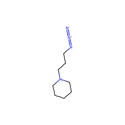 [N-]=[N+]=NCCCN1CCCCC1